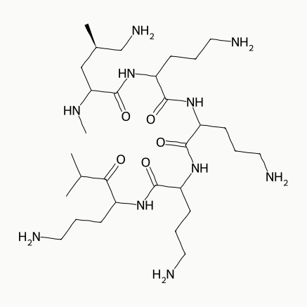 CNC(C[C@@H](C)CN)C(=O)NC(CCCN)C(=O)NC(CCCN)C(=O)NC(CCCN)C(=O)NC(CCCN)C(=O)C(C)C